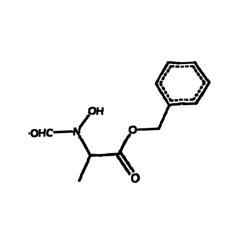 CC(C(=O)OCc1ccccc1)N(O)[C]=O